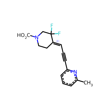 Cc1cccc(C#C/C=C2\CCN(C(=O)O)CC2(F)F)n1